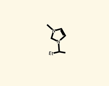 CCC(C)N1C=CN(C)C1